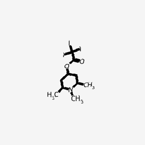 CC1CC(OC(=O)C(I)(I)I)CC(C)N1C